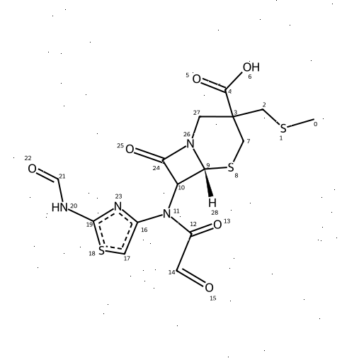 CSCC1(C(=O)O)CS[C@@H]2C(N(C(=O)C=O)c3csc(NC=O)n3)C(=O)N2C1